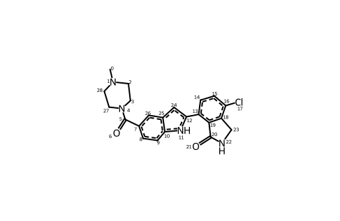 CN1CCN(C(=O)c2ccc3[nH]c(-c4ccc(Cl)c5c4C(=O)NC5)cc3c2)CC1